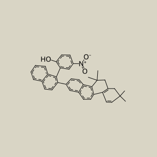 CC1(C)C=CC2=C(C1)CC(C)(C)c1c2ccc2cc(-c3ccc4ccccc4c3-c3cc([N+](=O)[O-])ccc3O)ccc12